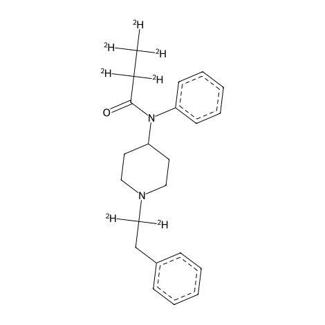 [2H]C([2H])(Cc1ccccc1)N1CCC(N(C(=O)C([2H])([2H])C([2H])([2H])[2H])c2ccccc2)CC1